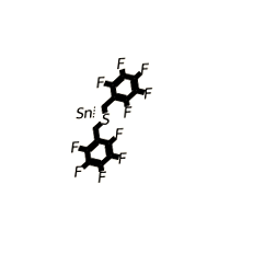 Fc1c(F)c(F)c(CSCc2c(F)c(F)c(F)c(F)c2F)c(F)c1F.[Sn]